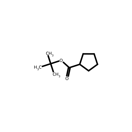 CC(C)(C)OC(=O)[C]1CCCC1